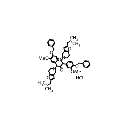 COc1cc(C(C(=O)C(c2ccc(OCc3ccccc3)c(OC)c2)N2CCc3oc(CN(C)C)cc3C2)C(=O)N2CCc3oc(CN(C)C)cc3C2)ccc1OCc1ccccc1.Cl